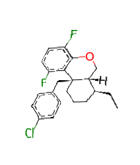 CC[C@H]1CCC[C@]2(Cc3ccc(Cl)cc3)c3c(F)ccc(F)c3OC[C@H]12